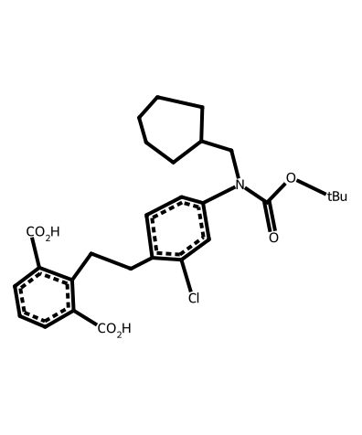 CC(C)(C)OC(=O)N(CC1CCCCC1)c1ccc(CCc2c(C(=O)O)cccc2C(=O)O)c(Cl)c1